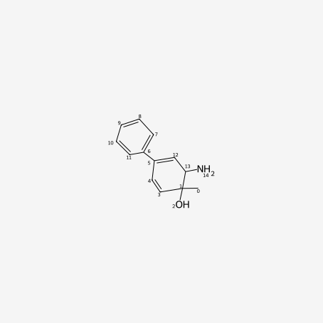 CC1(O)C=CC(c2ccccc2)=CC1N